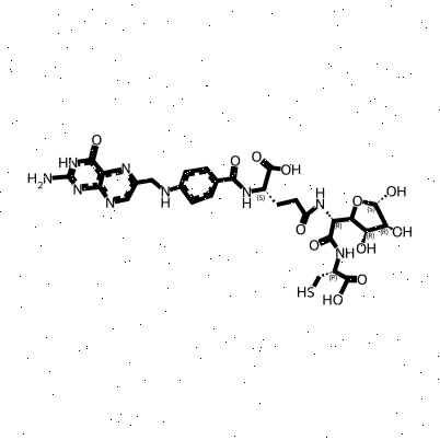 Nc1nc2ncc(CNc3ccc(C(=O)N[C@@H](CCC(=O)N[C@@H](C(=O)N[C@@H](CS)C(=O)O)C4O[C@H](O)[C@H](O)[C@H]4O)C(=O)O)cc3)nc2c(=O)[nH]1